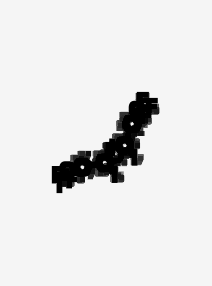 FC(F)(F)Oc1ccc(-c2cc(I)c(Cc3c(I)cc(-c4ccc(OC(F)(F)F)cc4)cc3I)c(I)c2)cc1